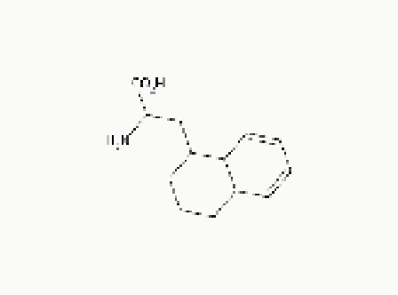 NC(CC1CCCC2C=CC=CC21)C(=O)O